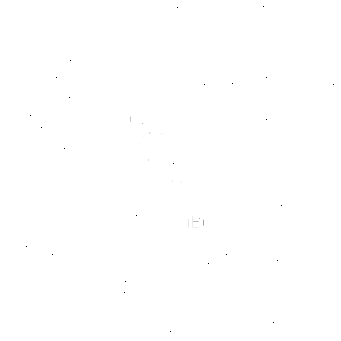 CCC(C)c1ccc(-c2ccc(Cl)cc2)cc1